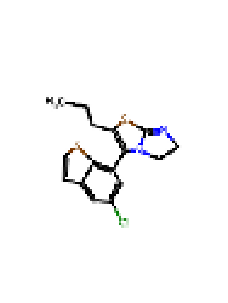 CCCC1=C(c2cc(Cl)cc3ccsc23)N2CCN=C2S1